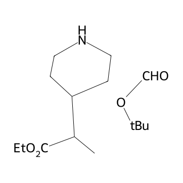 CC(C)(C)OC=O.CCOC(=O)C(C)C1CCNCC1